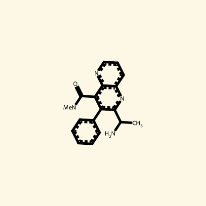 CNC(=O)c1c(-c2ccccc2)c(C(C)N)nc2cccnc12